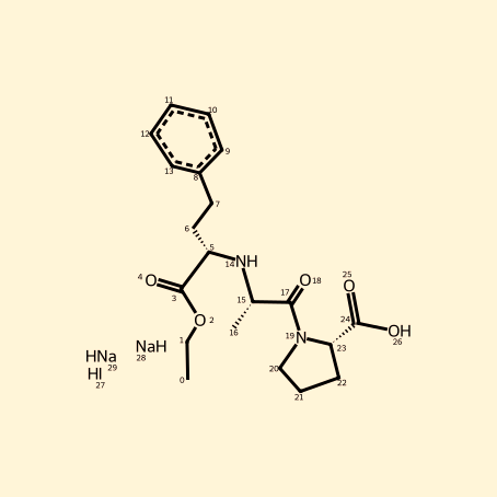 CCOC(=O)[C@H](CCc1ccccc1)N[C@@H](C)C(=O)N1CCC[C@H]1C(=O)O.I.[NaH].[NaH]